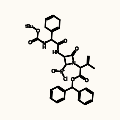 C=C(C)C(C(=O)OC(c1ccccc1)c1ccccc1)N1C(=O)C(NC(=O)C(NC(=O)OC(C)(C)C)C2=CCC=CC2)C1[S+]([O-])Cl